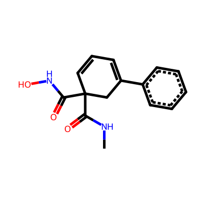 CNC(=O)C1(C(=O)NO)C=CC=C(c2ccccc2)C1